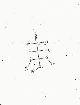 CCC(C)([Si](OC(C)C)(OC(C)C)OC(C)C)P(=O)(O)O